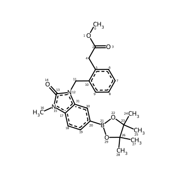 COC(=O)Cc1ccccc1Cn1c(=O)n(C)c2ccc(B3OC(C)(C)C(C)(C)O3)cc21